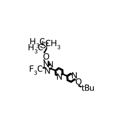 CC(C)(C)COc1ccc(-c2ccc(-c3nc(C(F)(F)F)n(COCC[Si](C)(C)C)n3)cn2)cn1